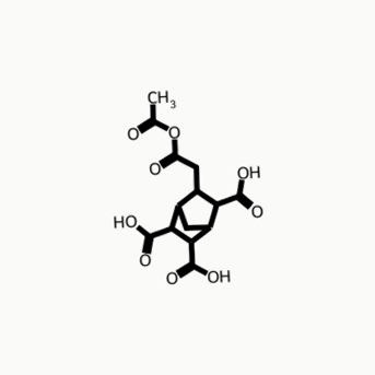 CC(=O)OC(=O)CC1C2CC(C1C(=O)O)C(C(=O)O)C2C(=O)O